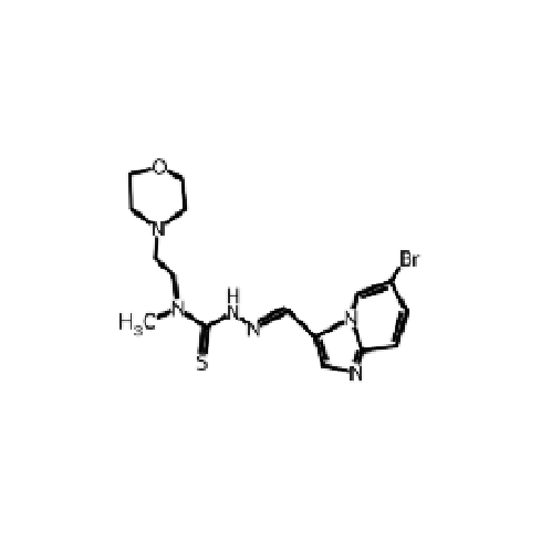 CN(CCN1CCOCC1)C(=S)NN=Cc1cnc2ccc(Br)cn12